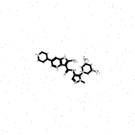 Cn1ncc(NC(=O)c2c(N)oc3cc(C4CCOCC4)cnc23)c1N1C[C@H](N)C[C@@H](C(F)(F)F)C1